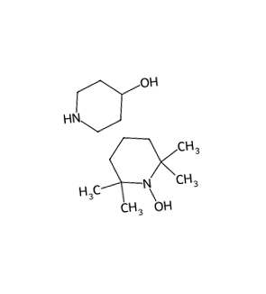 CC1(C)CCCC(C)(C)N1O.OC1CCNCC1